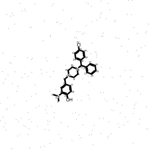 CN(C)c1cc(CN2CCN(C(c3ccccc3)c3ccc(Cl)cc3)CC2)ccc1O